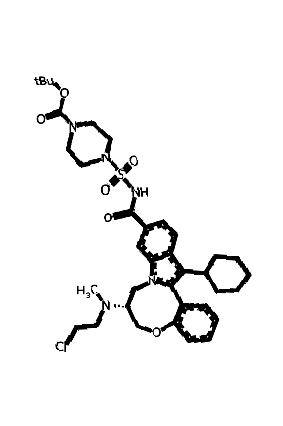 CN(CCCl)[C@H]1COc2ccccc2-c2c(C3CCCCC3)c3ccc(C(=O)NS(=O)(=O)N4CCN(C(=O)OC(C)(C)C)CC4)cc3n2C1